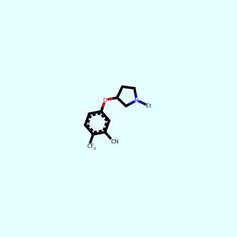 CCN1CCC(Oc2ccc(C(F)(F)F)c(C#N)c2)C1